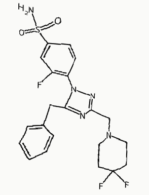 NS(=O)(=O)c1ccc(-n2nc(CN3CCC(F)(F)CC3)nc2Cc2ccccc2)c(F)c1